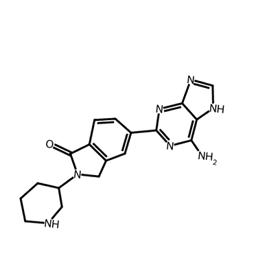 Nc1nc(-c2ccc3c(c2)CN(C2CCCNC2)C3=O)nc2nc[nH]c12